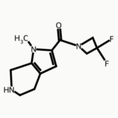 Cn1c(C(=O)N2CC(F)(F)C2)cc2c1CNCC2